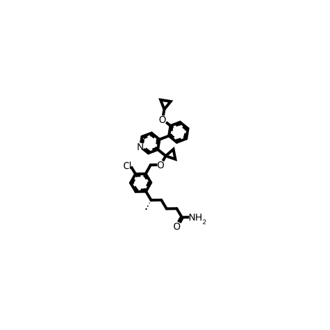 C[C@@H](CCCC(N)=O)c1ccc(Cl)c(COC2(c3cnccc3-c3ccccc3OC3CC3)CC2)c1